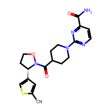 N#Cc1cc([C@@H]2CCON2C(=O)C2CCN(c3nccc(C(N)=O)n3)CC2)cs1